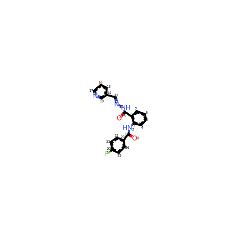 O=C(Nc1ccccc1C(=O)NN=Cc1cccnc1)c1ccc(F)cc1